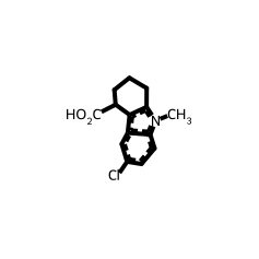 Cn1c2c(c3cc(Cl)ccc31)C(C(=O)O)CCC2